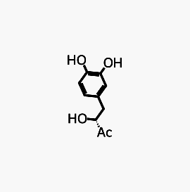 CC(=O)[C@H](O)Cc1ccc(O)c(O)c1